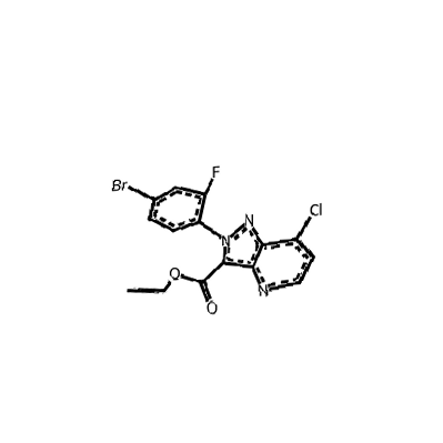 CCOC(=O)c1c2nccc(Cl)c2nn1-c1ccc(Br)cc1F